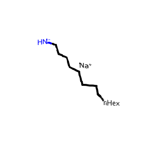 CCCCCCCCCCCCCC[NH-].[Na+]